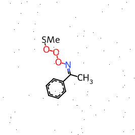 CSOOO/N=C(/C)c1ccccc1